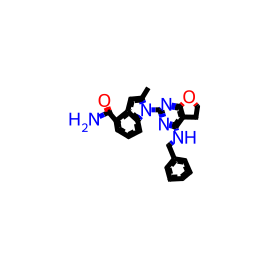 Cc1cc2c(C(N)=O)cccc2n1-c1nc(NCc2ccccc2)c2c(n1)OCC2